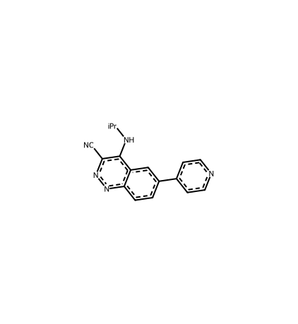 CC(C)Nc1c(C#N)nnc2ccc(-c3ccncc3)cc12